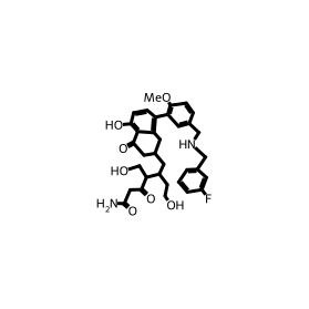 COc1ccc(CNCc2cccc(F)c2)cc1-c1ccc(O)c2c1CC(CC(CCO)C(CO)C(=O)CC(N)=O)CC2=O